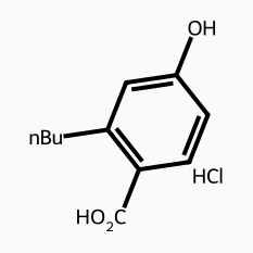 CCCCc1cc(O)ccc1C(=O)O.Cl